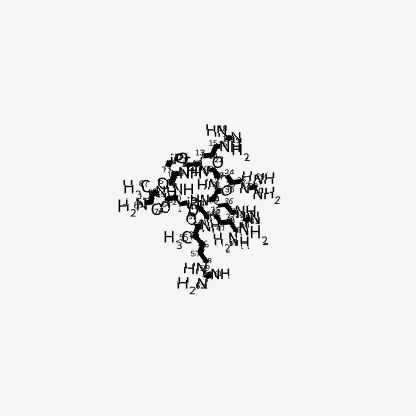 CC(C)C[C@H](NC(=O)[C@H](CC(C)C)NC(=O)[C@H](CCCNC(=N)N)NC(=O)[C@H](CCCNC(=N)N)NC(=O)[C@H](CCCNC(=N)N)NC(=O)[C@H](CCCCN)NC(=O)[C@@H](C)CCCNC(=N)N)C(=O)N[C@@H](C)C(N)=O